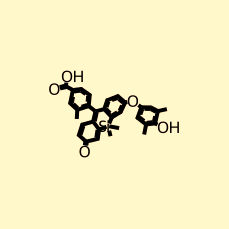 Cc1cc(C(=O)O)ccc1C1=C2C=CC(=O)C=C2[Si](C)(C)c2cc(Oc3cc(C)c(O)c(C)c3)ccc21